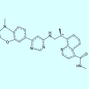 CNC(=O)c1ccnc2c([C@H](C)CNc3cc(-c4ccc5c(c4)OCCN5C)ncn3)cccc12